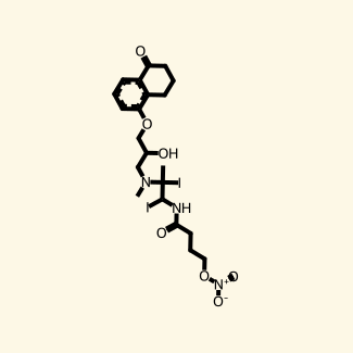 CN(CC(O)COc1cccc2c1CCCC2=O)C(C)(I)C(I)NC(=O)CCCO[N+](=O)[O-]